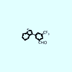 O=Cc1cc(-c2csc3ccccc23)cc(C(F)(F)F)c1